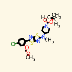 COCOc1cc(Cl)ccc1-c1nc2sc(N(C)C3CCN(C(=O)OC(C)(C)C)CC3)nc2s1